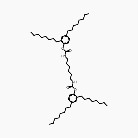 CCCCCCCCc1ccc(OC(=O)NCCCCCCNC(=O)Oc2ccc(CCCCCCCC)cc2CCCCCCCC)c(CCCCCCCC)c1